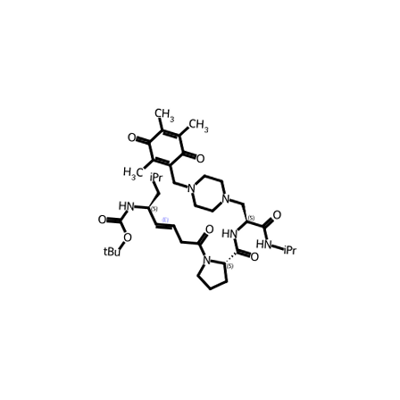 CC1=C(C)C(=O)C(CN2CCN(C[C@H](NC(=O)[C@@H]3CCCN3C(=O)C/C=C/[C@H](CC(C)C)NC(=O)OC(C)(C)C)C(=O)NC(C)C)CC2)=C(C)C1=O